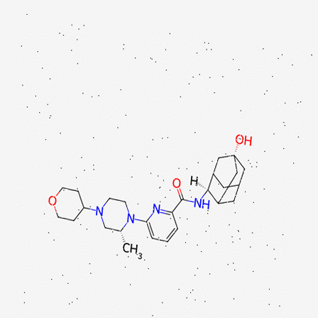 C[C@@H]1CN(C2CCOCC2)CCN1c1cccc(C(=O)N[C@H]2C3CC4CC2C[C@](O)(C4)C3)n1